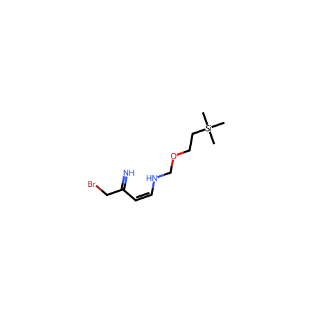 C[Si](C)(C)CCOCN/C=C\C(=N)CBr